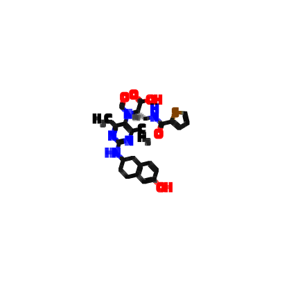 Cc1nc(NC2CCc3cc(O)ccc3C2)nc(C)c1N(C=O)[C@@H](CNC(=O)c1cccs1)C(=O)O